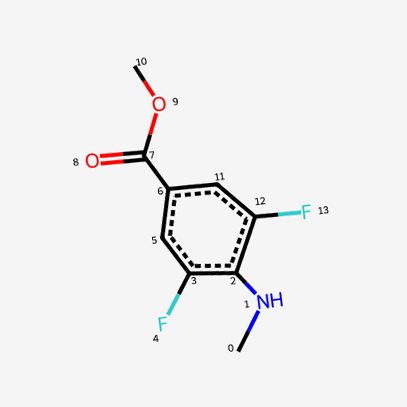 CNc1c(F)cc(C(=O)OC)cc1F